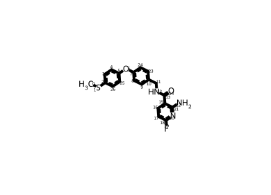 CSc1ccc(Oc2ccc(CNC(=O)c3ccc(F)nc3N)cc2)cc1